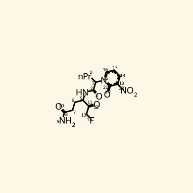 CCCC(C(=O)NC(CCC(N)=O)C(=O)CF)n1cccc([N+](=O)[O-])c1=O